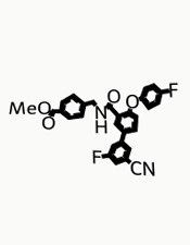 COC(=O)c1ccc(CNC(=O)c2cc(-c3cc(F)cc(C#N)c3)ccc2Oc2ccc(F)cc2)cc1